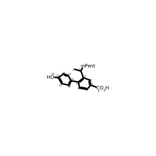 CCCCCC(C)c1cc(C(=O)O)ccc1-c1ccc(O)cc1